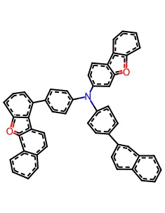 c1ccc2cc(-c3ccc(N(c4ccc(-c5cccc6oc7c8ccccc8ccc7c56)cc4)c4ccc5c(c4)oc4ccccc45)cc3)ccc2c1